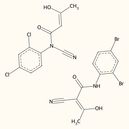 CC(O)=C(C#N)C(=O)Nc1ccc(Br)cc1Br.CC(O)=CC(=O)N(C#N)c1ccc(Cl)cc1Cl